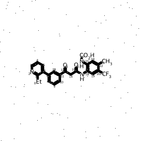 CCc1ncccc1-c1cccc(C(=O)CC(=O)Nc2cc(C(F)(F)F)c(C)cc2NC(=O)O)c1